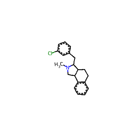 CN1CC2c3ccccc3CCC2C1Cc1cccc(Cl)c1